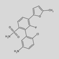 Cc1ccc(-c2ccc(S(N)(=O)=O)c(-c3cc(N)ccc3Cl)c2F)o1